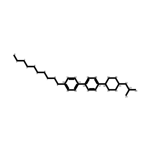 CCCCCCCCCCc1ccc(-c2ccc(C3CCC(CC(C)C)CC3)cc2)cc1